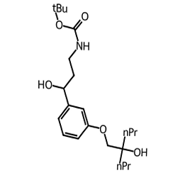 CCCC(O)(CCC)COc1cccc(C(O)CCNC(=O)OC(C)(C)C)c1